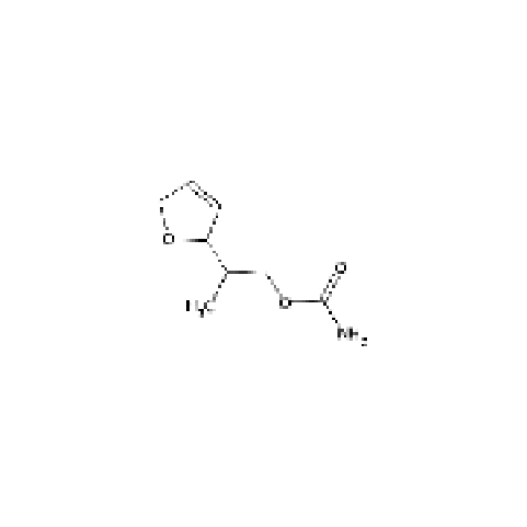 CC(COC(N)=O)C1C=CCO1